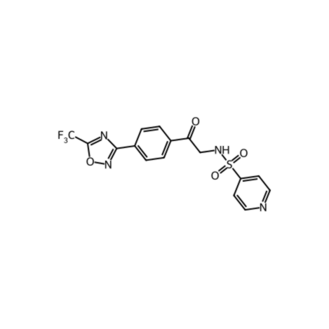 O=C(CNS(=O)(=O)c1ccncc1)c1ccc(-c2noc(C(F)(F)F)n2)cc1